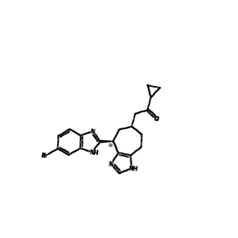 O=C(CC1CCc2[nH]cnc2[C@@H](c2nc3ccc(Br)cc3[nH]2)C1)C1CC1